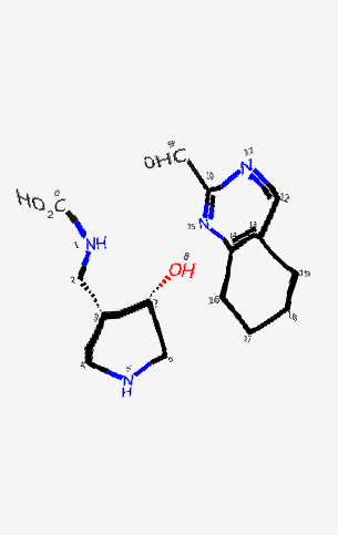 O=C(O)NC[C@H]1CNC[C@H]1O.O=Cc1ncc2c(n1)CCCC2